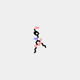 CCCCOC(=O)CC(NCC1CC2CC1CC2CO)C(=O)OCCCC